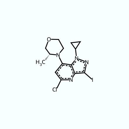 C[C@@H]1COCCN1c1cc(Cl)nc2c(I)nn(C3CC3)c12